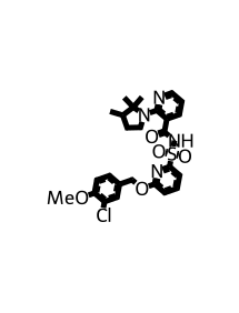 COc1ccc(COc2cccc(S(=O)(=O)NC(=O)c3cccnc3N3CCC(C)C3(C)C)n2)cc1Cl